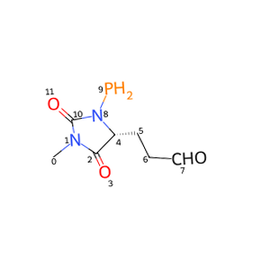 CN1C(=O)[C@@H](CCC=O)N(P)C1=O